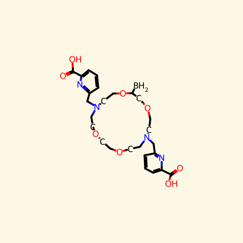 BC1COCCN(Cc2cccc(C(=O)O)n2)CCOCCOCCN(Cc2cccc(C(=O)O)n2)CCO1